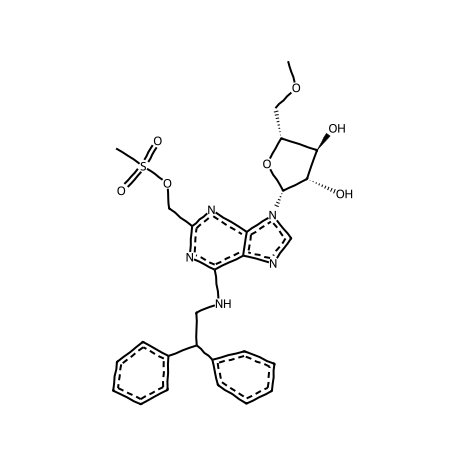 COC[C@H]1O[C@@H](n2cnc3c(NCC(c4ccccc4)c4ccccc4)nc(COS(C)(=O)=O)nc32)[C@@H](O)[C@@H]1O